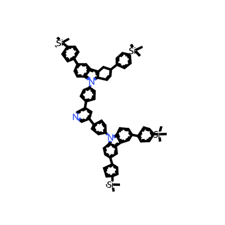 C[Si](C)(C)c1ccc(-c2ccc3c(c2)c2c(n3-c3ccc(-c4cncc(-c5ccc(-n6c7ccc(-c8ccc([Si](C)(C)C)cc8)cc7c7cc(-c8ccc([Si](C)(C)C)cc8)ccc76)cc5)c4)cc3)C=CC(c3ccc([Si](C)(C)C)cc3)C2)cc1